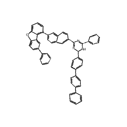 c1ccc(C2=NC(c3ccc4cc(-c5cccc6oc7ccc(-c8ccccc8)cc7c56)ccc4c3)=NC(c3ccc(-c4ccc(-c5ccccc5)cc4)cc3)N2)cc1